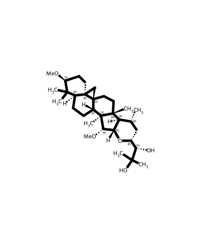 CO[C@H]1CC[C@]23C[C@]24CC[C@]2(C)[C@@H]5[C@H](O[C@@H]([C@H](O)C(C)(C)O)C[C@H]5C)[C@H](OC)[C@@]2(C)[C@@H]4CC[C@H]3C1(C)C